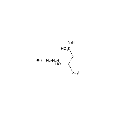 O=S(=O)(O)CC(O)S(=O)(=O)O.[NaH].[NaH].[NaH].[NaH]